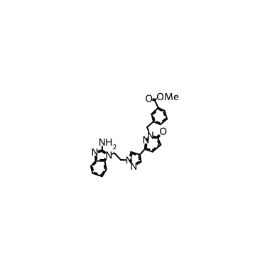 COC(=O)c1cccc(Cn2nc(-c3cnn(CCn4c(N)nc5ccccc54)c3)ccc2=O)c1